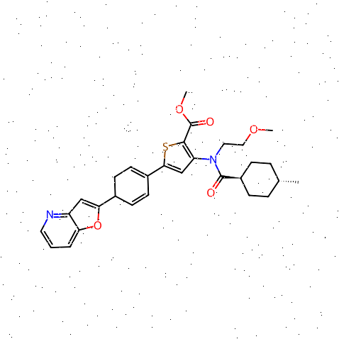 COCCN(c1cc(C2=CCC(c3cc4ncccc4o3)C=C2)sc1C(=O)OC)C(=O)[C@H]1CC[C@H](C)CC1